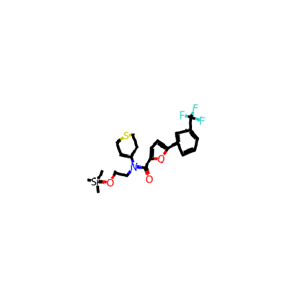 C[Si](C)(C)OCCN(C(=O)c1ccc(-c2cccc(C(F)(F)F)c2)o1)C1CCSCC1